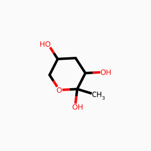 CC1(O)OCC(O)CC1O